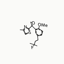 COc1ccc(CCC(C)(C)F)cc1C1(c2nc(C)cs2)CO1